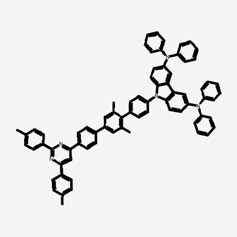 Cc1ccc(-c2cc(-c3ccc(-c4cc(C)c(-c5ccc(-n6c7ccc(N(c8ccccc8)c8ccccc8)cc7c7cc(N(c8ccccc8)c8ccccc8)ccc76)cc5)c(C)c4)cc3)nc(-c3ccc(C)cc3)n2)cc1